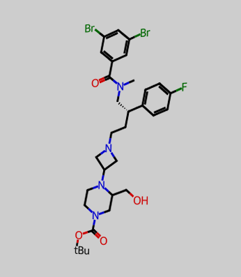 CN(C[C@@H](CCN1CC(N2CCN(C(=O)OC(C)(C)C)CC2CO)C1)c1ccc(F)cc1)C(=O)c1cc(Br)cc(Br)c1